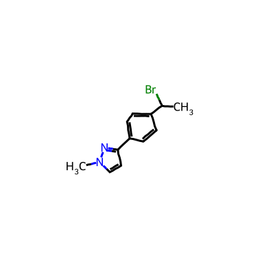 CC(Br)c1ccc(-c2ccn(C)n2)cc1